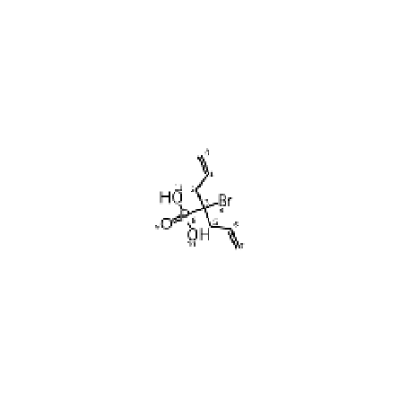 C=CCC(Br)(CC=C)P(=O)(O)O